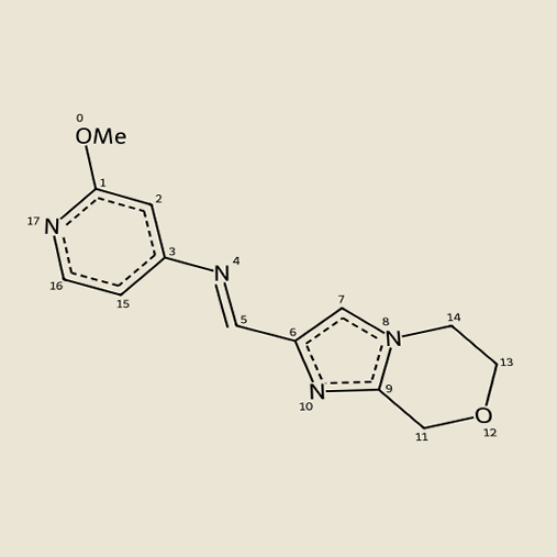 COc1cc(N=Cc2cn3c(n2)COCC3)ccn1